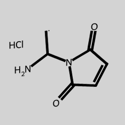 Cl.[CH2]C(N)N1C(=O)C=CC1=O